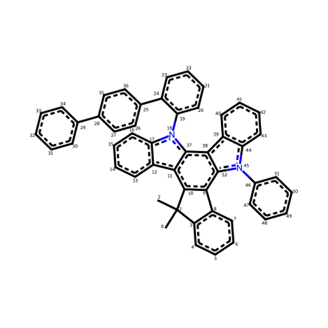 CC1(C)c2ccccc2-c2c1c1c3ccccc3n(-c3ccccc3-c3ccc(-c4ccccc4)cc3)c1c1c3ccccc3n(-c3ccccc3)c21